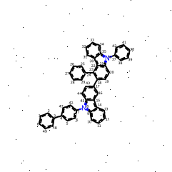 c1ccc(-c2ccc(-n3c4ccccc4c4cc(-c5ccc6c(c5-c5ccccc5)c5ccccc5n6-c5ccccc5)ccc43)cc2)cc1